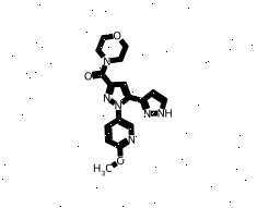 COc1ccc(-n2nc(C(=O)N3CCOCC3)cc2-c2cc[nH]n2)cn1